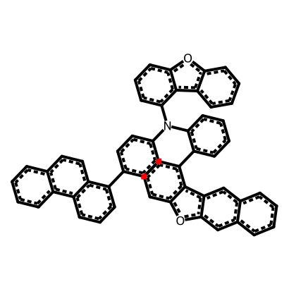 c1ccc(N(c2ccc(-c3cccc4c3ccc3ccccc34)cc2)c2cccc3oc4ccccc4c23)c(-c2cccc3oc4cc5ccccc5cc4c23)c1